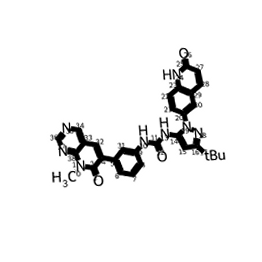 Cn1c(=O)c(-c2cccc(NC(=O)Nc3cc(C(C)(C)C)nn3-c3ccc4[nH]c(=O)ccc4c3)c2)cc2cncnc21